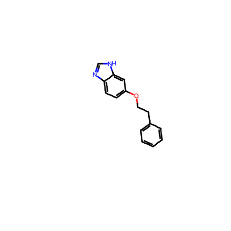 c1ccc(CCOc2ccc3nc[nH]c3c2)cc1